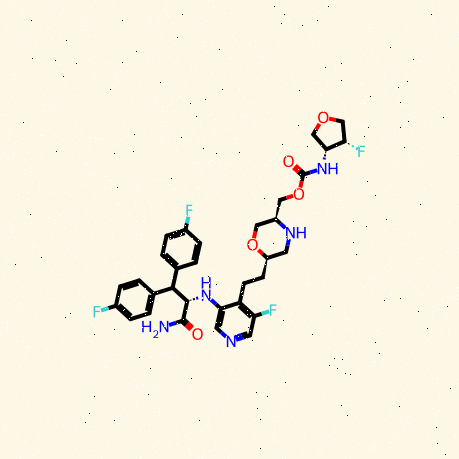 NC(=O)[C@@H](Nc1cncc(F)c1CC[C@@H]1CN[C@H](COC(=O)N[C@@H]2COC[C@@H]2F)CO1)C(c1ccc(F)cc1)c1ccc(F)cc1